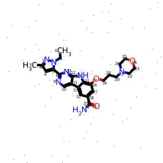 CCn1nc(C)cc1-c1ncc2c(n1)[nH]c1c(OCCCN3CCOCC3)cc(C(N)=O)cc12